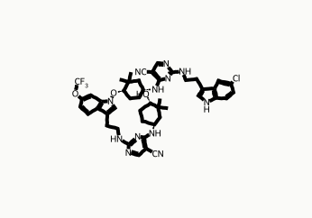 CC1(C)C[C@H](Nc2nc(NCCc3c[nH]c4ccc(Cl)cc34)ncc2C#N)CC[C@@H]1On1cc(CCNc2ncc(C#N)c(N[C@@H]3CC[C@H](O)C(C)(C)C3)n2)c2ccc(OC(F)(F)F)cc21